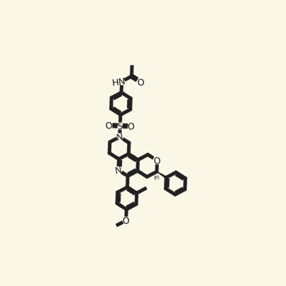 COc1ccc(-c2nc3c(c4c2C[C@H](c2ccccc2)OC4)CN(S(=O)(=O)c2ccc(NC(C)=O)cc2)CC3)c(C)c1